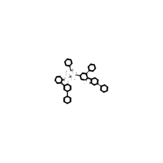 c1ccc(-c2ccc3c(c2)oc2cc(-c4nc(-c5ccccc5)nc(-n5c6ccccc6c6cc(-c7ccccc7)ccc65)n4)cc(-c4ccccc4)c23)cc1